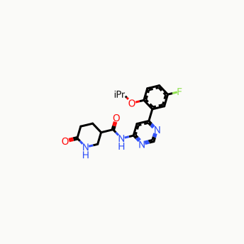 CC(C)Oc1ccc(F)cc1-c1cc(NC(=O)C2CCC(=O)NC2)ncn1